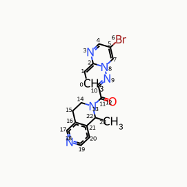 C/C=C1/N=CC(Br)=CN1/N=C/C(=O)N1CCc2cnccc2C1C